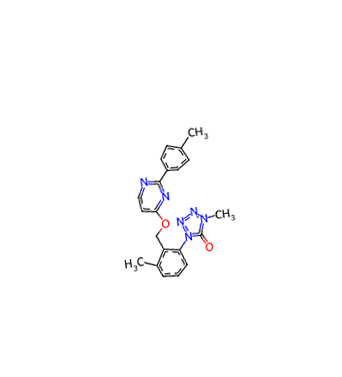 Cc1ccc(-c2nccc(OCc3c(C)cccc3-n3nnn(C)c3=O)n2)cc1